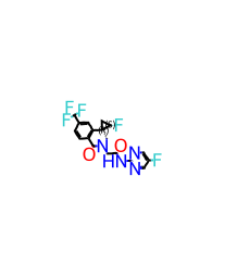 O=C(CN1C[C@@]2(C[C@@H]2F)c2cc(C(F)(F)F)ccc2C1=O)Nc1ncc(F)cn1